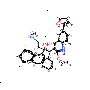 CNCC[C@@](O)(c1cccc2ccccc12)[C@H](c1ccccc1)c1cc2cc(-c3ccco3)ccc2nc1OC